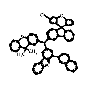 CC1(C)c2ccccc2Sc2ccc(C(c3ccc4c(c3)-c3ccccc3C43c4ccccc4Oc4cc(Cl)ccc43)c3cc(-c4ccc5ccccc5c4)c4oc5ccccc5c4c3)cc21